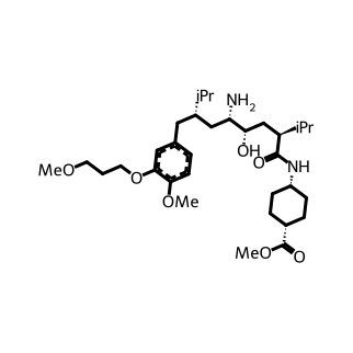 COCCCOc1cc(C[C@@H](C[C@H](N)[C@@H](O)C[C@H](C(=O)N[C@H]2CC[C@@H](C(=O)OC)CC2)C(C)C)C(C)C)ccc1OC